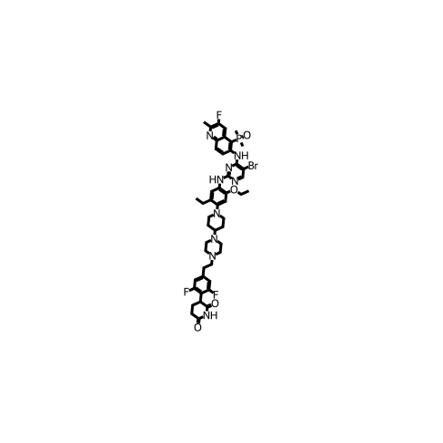 CCOc1cc(N2CCC(N3CCN(CCc4cc(F)c(C5CCC(=O)NC5=O)c(F)c4)CC3)CC2)c(CC)cc1Nc1ncc(Br)c(Nc2ccc3nc(C)c(F)cc3c2P(C)(C)=O)n1